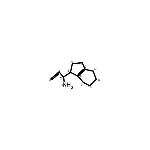 C=CC(N)C1CCC2=C1CCCC2